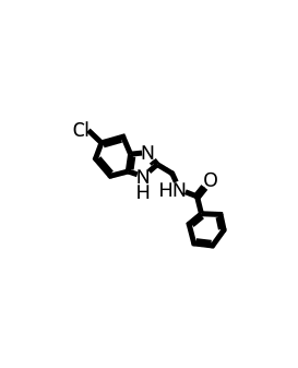 O=C(NCc1nc2cc(Cl)ccc2[nH]1)c1ccccc1